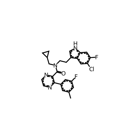 Cc1cc(F)cc(-c2nccnc2C(=O)N(CCc2c[nH]c3cc(F)c(Cl)cc23)CC2CC2)c1